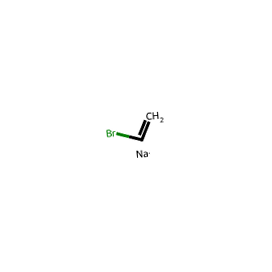 C=CBr.[Na]